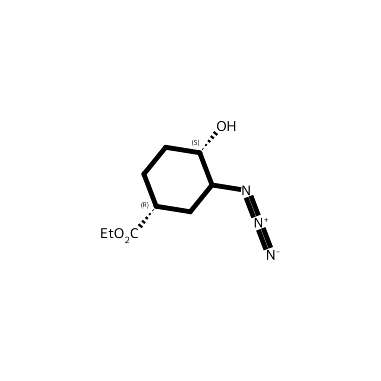 CCOC(=O)[C@@H]1CC[C@H](O)C(N=[N+]=[N-])C1